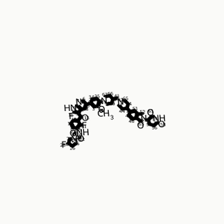 COc1cc(-c2cnc3[nH]cc(C(=O)c4c(F)ccc(NS(=O)(=O)N5CC[C@@H](F)C5)c4F)c3c2)ccc1N1CCC(CN2CCC(c3ccc4c(c3)CN([C@H]3CCC(=O)NC3=O)C4=O)CC2)CC1